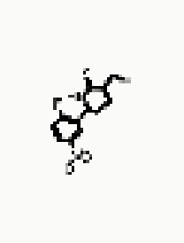 O=[N+]([O-])c1ccc(F)c(C2CCC(CF)C(=S)N2)c1